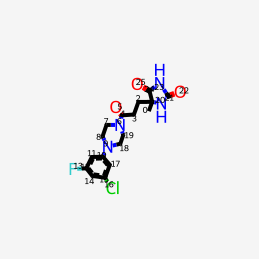 CC1(CCC(=O)N2CCN(c3cc(F)cc(Cl)c3)CC2)NC(=O)NC1=O